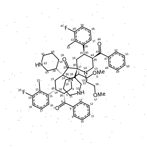 COCCN1C[C@H](C(=O)c2ccccc2)[C@H](c2cccc(F)c2C)C[C@]1(C(=O)[C@]1(C2CCCNC2)C[C@@H](c2cccc(F)c2C)[C@@H](C(=O)c2ccccc2)CN1CCOC)C1CCCNC1